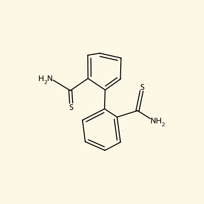 NC(=S)c1ccccc1-c1ccccc1C(N)=S